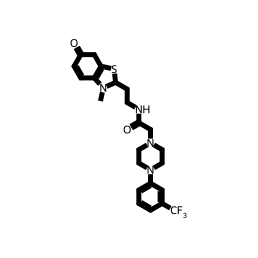 CN1C2=C(CC(=O)C=C2)SC1CCNC(=O)CN1CCN(c2cccc(C(F)(F)F)c2)CC1